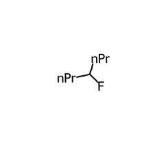 [CH2]CCC(F)CCC